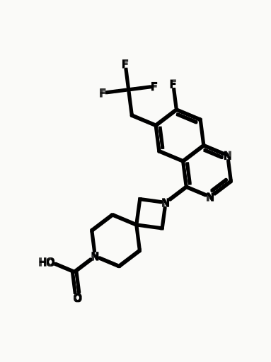 O=C(O)N1CCC2(CC1)CN(c1ncnc3cc(F)c(CC(F)(F)F)cc13)C2